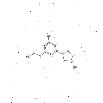 OCCc1cc(O)cc(N2CCC(O)C2)c1